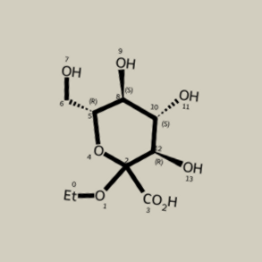 CCOC1(C(=O)O)O[C@H](CO)[C@@H](O)[C@H](O)[C@H]1O